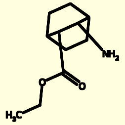 CCOC(=O)C1C2CCC(CC2)C1N